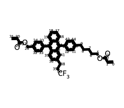 C=CC(=O)OCCCCCc1ccc(-c2c3ccccc3c(-c3ccc(COC(=O)C=C)cc3)c3ccc(CCC(F)(F)F)cc23)cc1